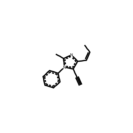 C#Cc1c(/C=C\C)nc(C)n1-c1ccccc1